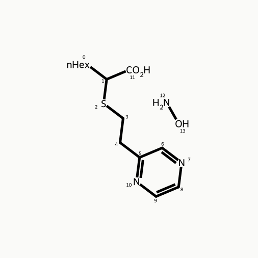 CCCCCCC(SCCc1cnccn1)C(=O)O.NO